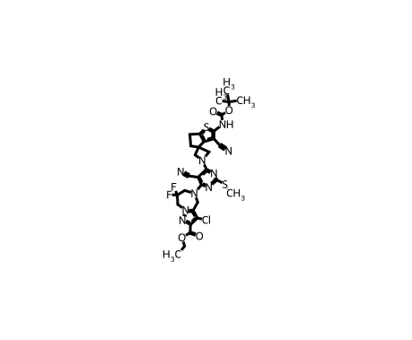 CCOC(=O)c1nn2c(c1Cl)CN(c1nc(SC)nc(N3CC4(CCc5sc(NC(=O)OC(C)(C)C)c(C#N)c54)C3)c1C#N)CC(F)(F)C2